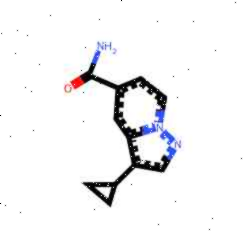 NC(=O)c1ccn2ncc(C3CC3)c2c1